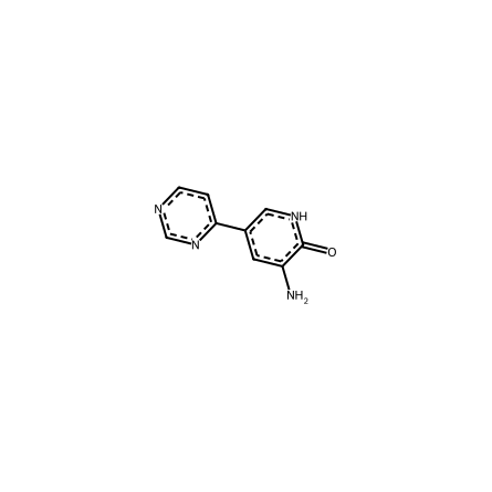 Nc1cc(-c2ccncn2)c[nH]c1=O